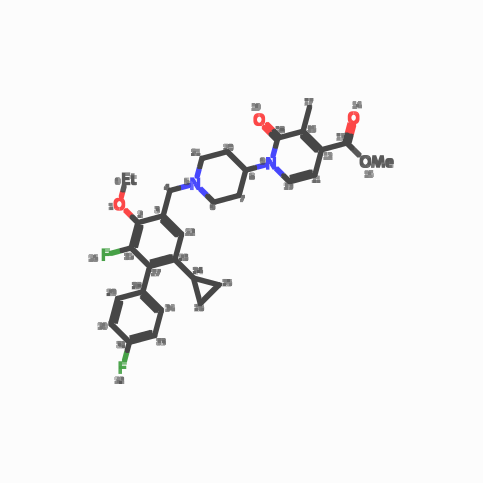 CCOc1c(CN2CCC(n3ccc(C(=O)OC)c(C)c3=O)CC2)cc(C2CC2)c(-c2ccc(F)cc2)c1F